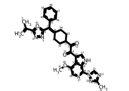 C=C(C)c1nnc(C(=C2CCC(C(=O)C(=O)c3c[nH]c4c(-n5cnc(C)n5)ncc(OC)c34)CC2)c2ccccc2)o1